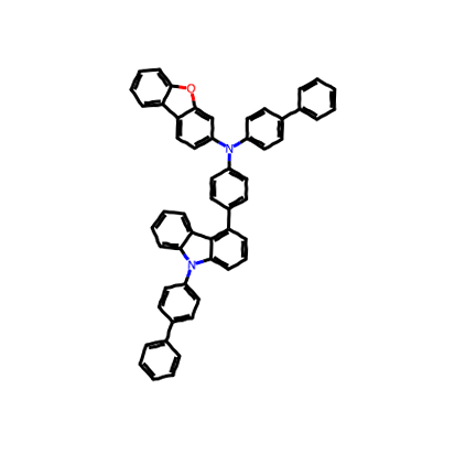 c1ccc(-c2ccc(N(c3ccc(-c4cccc5c4c4ccccc4n5-c4ccc(-c5ccccc5)cc4)cc3)c3ccc4c(c3)oc3ccccc34)cc2)cc1